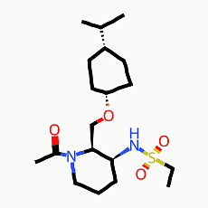 CCS(=O)(=O)N[C@H]1CCCN(C(C)=O)[C@H]1CO[C@H]1CC[C@@H](C(C)C)CC1